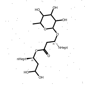 CCCCCCC[C@H](CC(O)O)OC(=O)C[C@@H](CCCCCCC)OC1OC(C)C(O)C(O)C1O